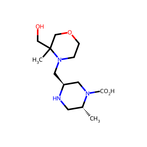 C[C@@H]1CN[C@@H](CN2CCOCC2(C)CO)CN1C(=O)O